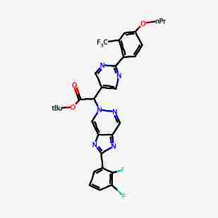 CCCOc1ccc(-c2ncc(C(C(=O)OC(C)(C)C)n3cc4nc(-c5cccc(F)c5F)nc-4cn3)cn2)c(C(F)(F)F)c1